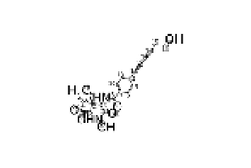 C=CC1(C(NC(=O)c2ccc(C#CC#CCCO)cc2)C(=O)NO)CS(=O)(=O)C1